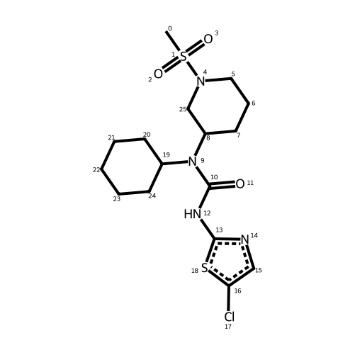 CS(=O)(=O)N1CCCC(N(C(=O)Nc2ncc(Cl)s2)C2CCCCC2)C1